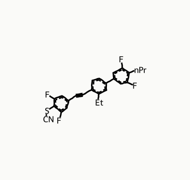 CCCc1c(F)cc(-c2ccc(C#Cc3cc(F)c(SC#N)c(F)c3)c(CC)c2)cc1F